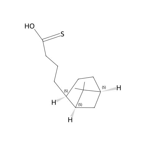 CC1(C)[C@H]2CC[C@H](CCCC(O)=S)[C@@H]1C2